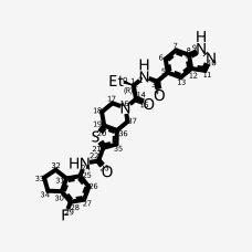 CC[C@@H](NC(=O)c1ccc2[nH]ncc2c1)C(=O)N1CCc2sc(C(=O)Nc3ccc(F)c4c3CCC4)cc2C1